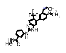 C=Nc1ccc(-c2cc3[nH]c(Nc4cccc(C(=O)NO)c4)nc3cc2C(F)(F)F)cc1/C=C\C